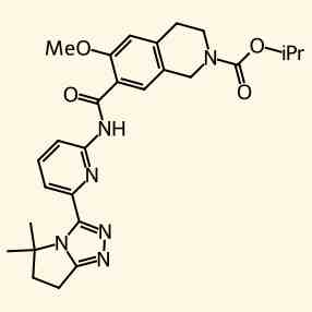 COc1cc2c(cc1C(=O)Nc1cccc(-c3nnc4n3C(C)(C)CC4)n1)CN(C(=O)OC(C)C)CC2